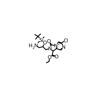 CCOC(=O)C1c2cnc(Cl)c[n+]2C(=O)N1CC(CN)O[Si](C)(C)C(C)(C)C